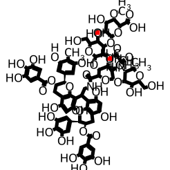 COC1C(C(=O)O)OC(OC2C(O)C(CO)OC(OC3C(C(=O)NCC(c4c(O)cc(O)c5c4O[C@H](c4cc(O)c(C)c(O)c4)[C@H](OC(=O)c4cc(O)c(O)c(O)c4)C5)c4c(O)cc(O)c5c4O[C@H](c4cc(O)c(O)c(O)c4)[C@H](OC(=O)c4cc(O)c(O)c(O)c4)C5)OC(OC4C(O)C(CO)OC(C)C4NC(C)=O)C(O)C3O)C2NC(C)=O)C(O)C1O